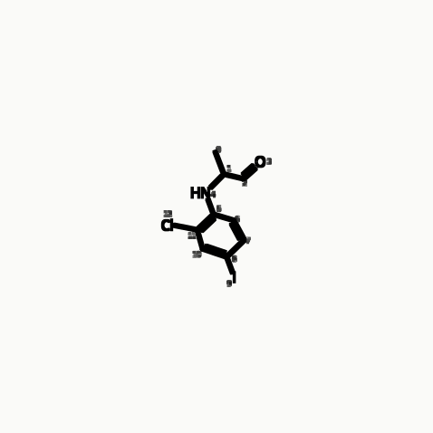 CC(C=O)Nc1ccc(I)cc1Cl